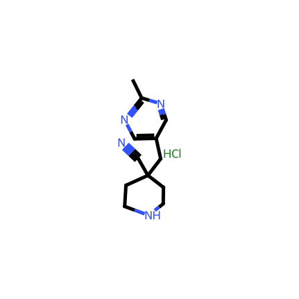 Cc1ncc(CC2(C#N)CCNCC2)cn1.Cl